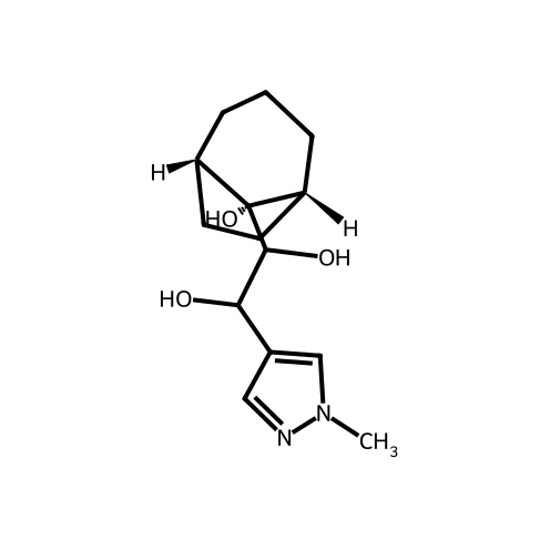 Cn1cc(C(O)C(O)[C@]2(O)[C@@H]3CCC[C@H]2CC3)cn1